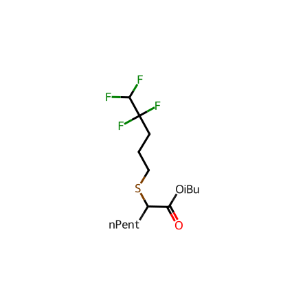 CCCCCC(SCCCC(F)(F)C(F)F)C(=O)OCC(C)C